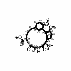 CN[C@@H]1C(=O)N[C@@H](C)C(=O)N[C@H](C(=O)OC)CCCC2C=C(C(OC)=CC2)c2cc1ccc2OC